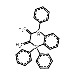 C=C1C(=C)[Si](c2ccccc2)(c2ccccc2)c2ccccc2[SiH]1c1ccccc1